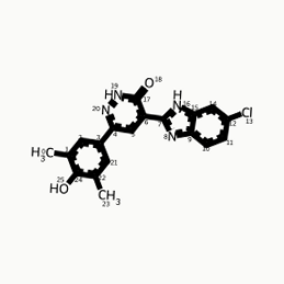 Cc1cc(-c2cc(-c3nc4ccc(Cl)cc4[nH]3)c(=O)[nH]n2)cc(C)c1O